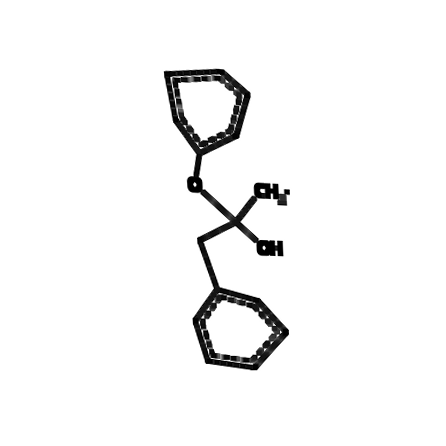 [CH2]C(O)(Cc1ccccc1)Oc1ccccc1